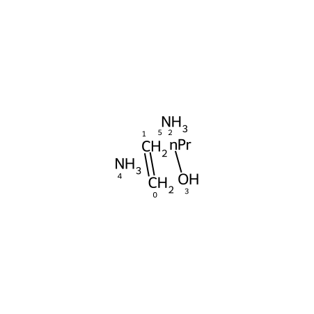 C=C.CCCO.N.N